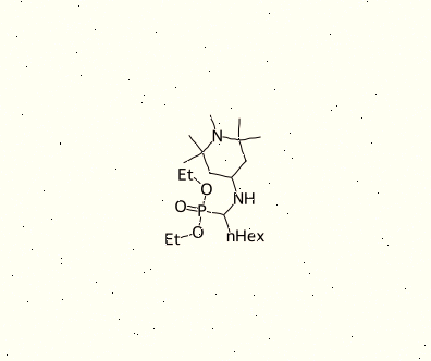 CCCCCCC(NC1CC(C)(C)N(C)C(C)(C)C1)P(=O)(OCC)OCC